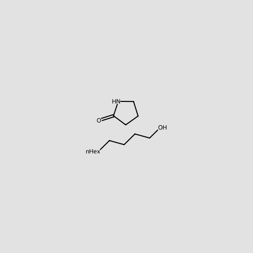 CCCCCCCCCCO.O=C1CCCN1